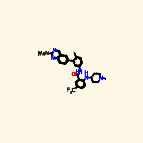 CNc1ncc2cc(-c3cc(NC(=O)c4cc(C(F)(F)F)ccc4NC4CCN(C)CC4)ccc3C)ccc2n1